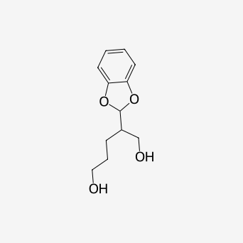 OCCCC(CO)C1Oc2ccccc2O1